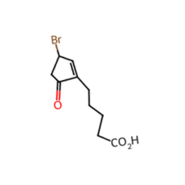 O=C(O)CCCCC1=CC(Br)CC1=O